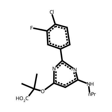 CCCNc1cc(OC(C)(C)C(=O)O)nc(-c2ccc(Cl)c(F)c2)n1